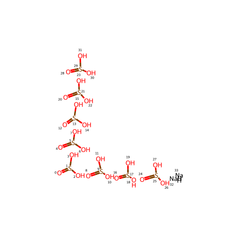 O=S(O)O.O=S(O)O.O=S(O)O.O=S(O)O.O=S(O)O.O=S(O)O.O=S(O)O.O=S(O)O.[NaH].[NaH]